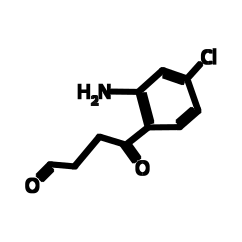 Nc1cc(Cl)ccc1C(=O)CCC=O